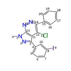 Cn1nc(-c2cccc(I)c2)c2c(Cl)c(-c3ccccc3)nnc21